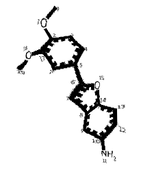 COc1ccc(-c2cc3cc(N)ccc3o2)cc1OC